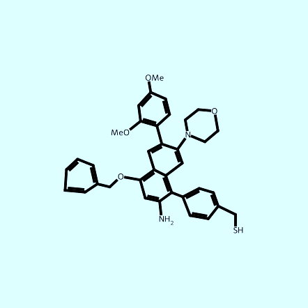 COc1ccc(-c2cc3c(OCc4ccccc4)cc(N)c(-c4ccc(CS)cc4)c3cc2N2CCOCC2)c(OC)c1